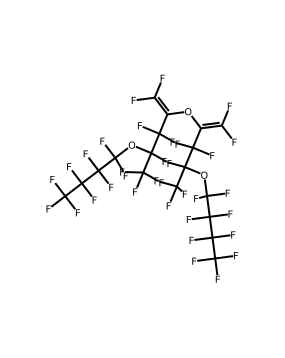 FC(F)=C(OC(=C(F)F)C(F)(F)C(F)(OC(F)(F)C(F)(F)C(F)(F)C(F)(F)F)C(F)(F)F)C(F)(F)C(F)(OC(F)(F)C(F)(F)C(F)(F)C(F)(F)F)C(F)(F)F